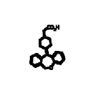 O=C(O)CN1CCC(=C2c3ccccc3COc3ccccc32)CC1